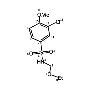 CCOCNS(=O)(=O)c1ccc(OC)c(Cl)c1